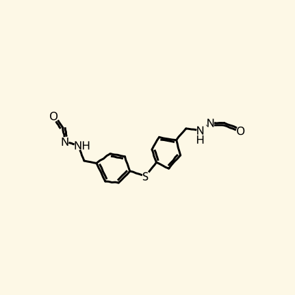 O=C=NNCc1ccc(Sc2ccc(CNN=C=O)cc2)cc1